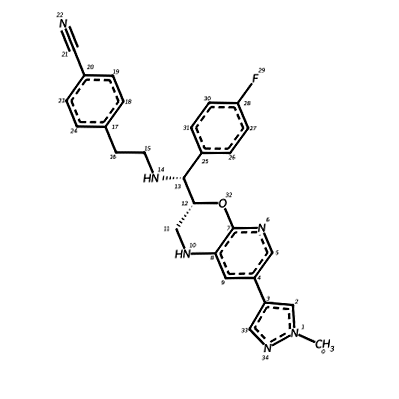 Cn1cc(-c2cnc3c(c2)NC[C@H]([C@H](NCCc2ccc(C#N)cc2)c2ccc(F)cc2)O3)cn1